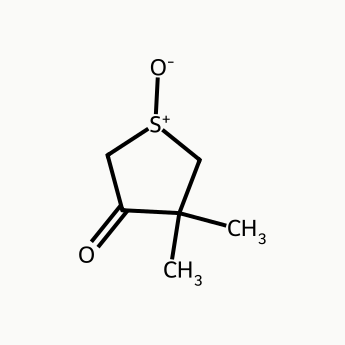 CC1(C)C[S+]([O-])CC1=O